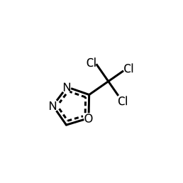 ClC(Cl)(Cl)c1nnco1